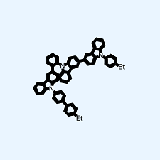 CCc1ccc(-c2ccc(-n3c4ccccc4c4cc(-c5ccccc5-n5c6ccccc6c6cc(-c7ccc8c(c7)c7ccccc7n8-c7ccc(CC)cc7)ccc65)ccc43)cc2)cc1